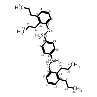 CCCc1cccc(O[SiH2]c2ccc([SiH2]Oc3cccc(CCC)c3CCC)cc2)c1CCC